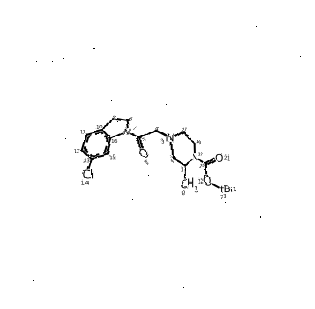 CC1CN(CC(=O)N2CCc3ccc(Cl)cc32)CCN1C(=O)OC(C)(C)C